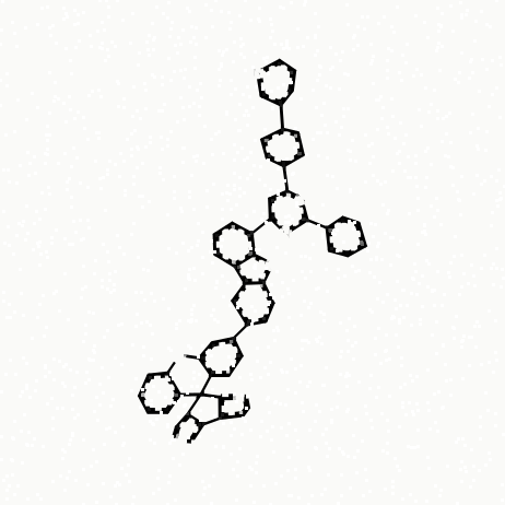 c1ccc(-c2nc(-c3ccc(-c4cccnc4)cc3)cc(-c3cccc4c3oc3ccc(-c5ccc6c(c5)Oc5ccccc5C65c6ccccc6-c6ccccc65)cc34)n2)cc1